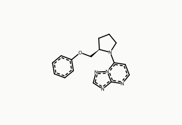 c1ccc(OC[C@H]2CCCN2c2ccnc3ncnn23)cc1